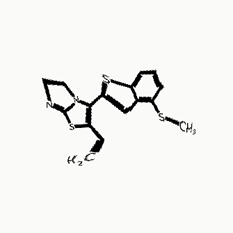 C=CC1=C(c2cc3c(SC)cccc3s2)N2CCN=C2S1